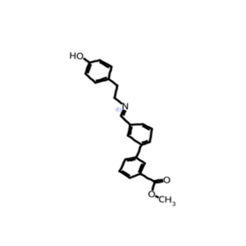 COC(=O)c1cccc(-c2cccc(/C=N/CCc3ccc(O)cc3)c2)c1